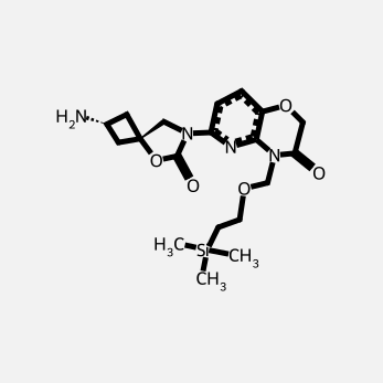 C[Si](C)(C)CCOCN1C(=O)COc2ccc(N3C[C@]4(C[C@H](N)C4)OC3=O)nc21